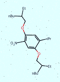 CCCCC(CC)COc1cc([N+](=O)[O-])c(OCC(CC)CCCC)cc1C(C)C